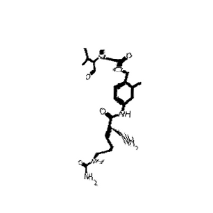 CC1CC(NC(=O)[C@@H](N)CCCNC(N)=O)=CC=C1COC(=O)N(C)C(C=O)C(C)C